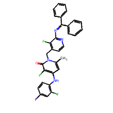 Cc1cc(Nc2ccc(I)cc2F)c(F)c(=O)n1Cc1ccnc(N=C(c2ccccc2)c2ccccc2)c1F